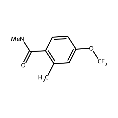 CNC(=O)c1ccc(OC(F)(F)F)cc1C